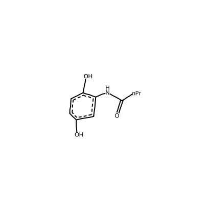 CCCC(=O)Nc1cc(O)ccc1O